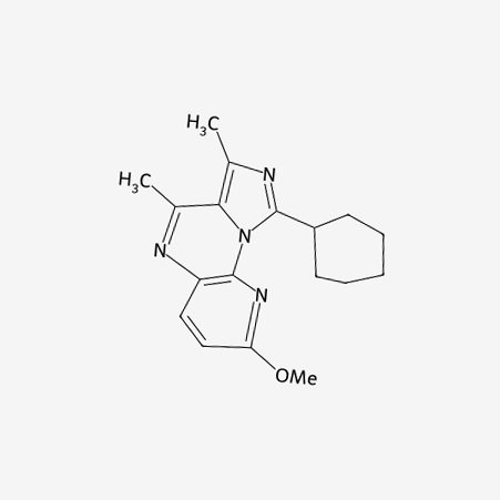 COc1ccc2nc(C)c3c(C)nc(C4CCCCC4)n3c2n1